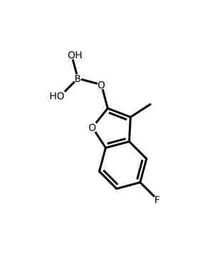 Cc1c(OB(O)O)oc2ccc(F)cc12